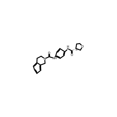 O=C(Nc1ccc(NC(=O)N2CCc3ccccc3C2)cc1)[C@@H]1CCOC1